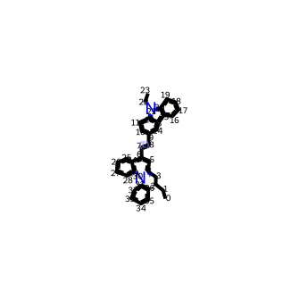 CCCCc1cc(/C=C/c2ccc3c(c2)c2ccccc2n3CC)c2ccccc2[n+]1-c1ccccc1